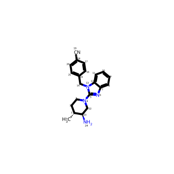 C[C@@H]1CCN(c2nc3ccccc3n2Cc2ccc(C#N)cc2)C[C@H]1N